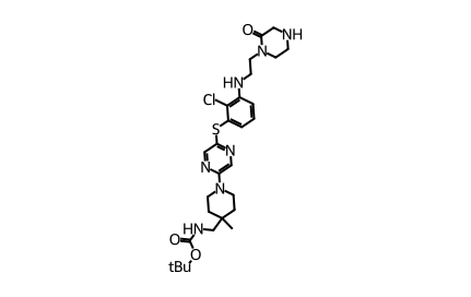 CC1(CNC(=O)OC(C)(C)C)CCN(c2cnc(Sc3cccc(NCCN4CCNCC4=O)c3Cl)cn2)CC1